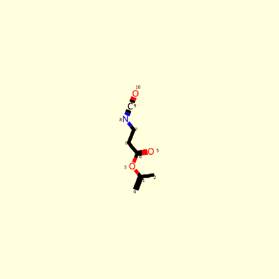 C=C(C)OC(=O)CCN=C=O